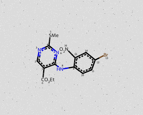 CCOC(=O)c1cnc(SC)nc1Nc1ccc(Br)cc1[N+](=O)[O-]